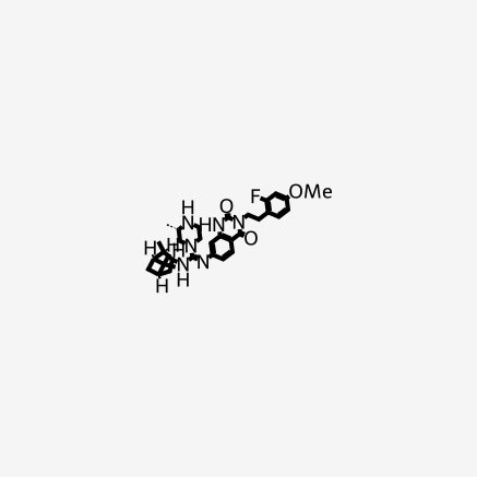 COc1ccc(CCn2c(=O)[nH]c3cc(N=C(N[C@H]4C[C@@H]5C[C@@H]([C@H]4C)C5(C)C)N4CCN[C@@H](C)C4)ccc3c2=O)c(F)c1